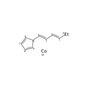 CCC=CC=CC1C=CC=C1.[Co]